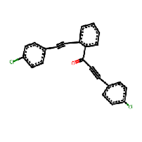 O=C(C#Cc1ccc(Cl)cc1)c1ccccc1C#Cc1ccc(Cl)cc1